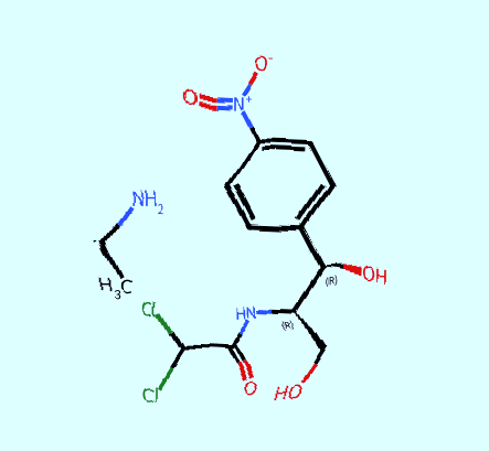 C[CH]N.O=C(N[C@H](CO)[C@H](O)c1ccc([N+](=O)[O-])cc1)C(Cl)Cl